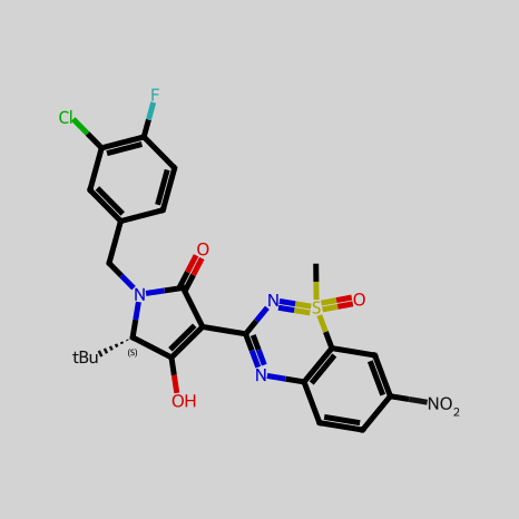 CC(C)(C)[C@H]1C(O)=C(C2=Nc3ccc([N+](=O)[O-])cc3S(C)(=O)=N2)C(=O)N1Cc1ccc(F)c(Cl)c1